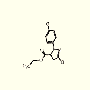 CCOC(=O)C1CC(Cl)=NN1c1ccc(Cl)cc1